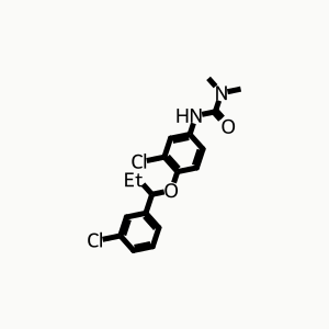 CCC(Oc1ccc(NC(=O)N(C)C)cc1Cl)c1cccc(Cl)c1